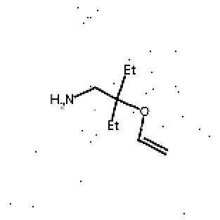 C=COC(CC)(CC)CN